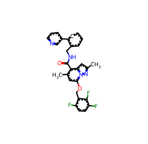 Cc1cc2c(C(=O)NCc3ccccc3-c3cccnc3)c(C)cc(OCc3c(F)ccc(F)c3F)n2n1